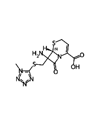 Cn1nnnc1SCC1(N)C(=O)N2C(C(=O)O)=CCS[C@H]21